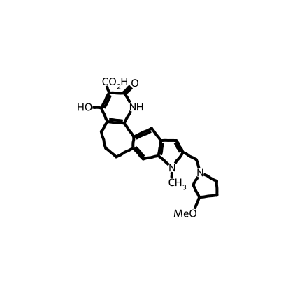 COC1CCN(Cc2cc3cc4c(cc3n2C)CCCc2c-4[nH]c(=O)c(C(=O)O)c2O)C1